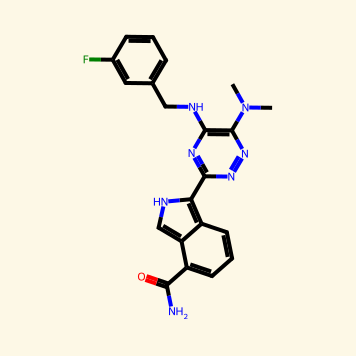 CN(C)c1nnc(-c2[nH]cc3c(C(N)=O)cccc23)nc1NCc1cccc(F)c1